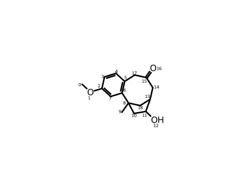 COc1ccc2c(c1)C1(C)CC(O)C(CC(=O)C2)C1